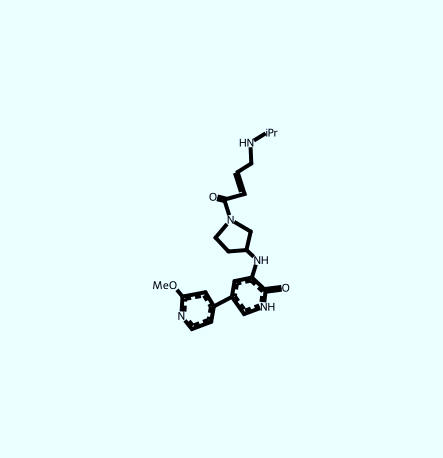 COc1cc(-c2c[nH]c(=O)c(NC3CCN(C(=O)/C=C/CNC(C)C)C3)c2)ccn1